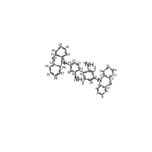 Nc1cc(N2c3ccccc3Sc3ccccc32)ccc1-c1ccc(N2c3ccccc3Sc3ccccc32)cc1N